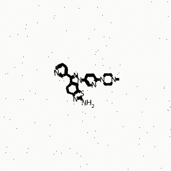 CN1CCN(c2ccc(-n3nc(-c4cccnc4)c4c3-c3sc(N)nc3CC4)cn2)CC1